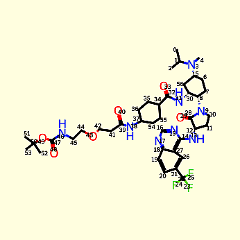 CC(C)N(C)[C@@H]1CC[C@H](N2CC[C@H](Nc3ncnc4ccc(C(F)(F)F)cc34)C2=O)[C@H](NC(=O)C2CCC(NC(=O)CCOCCNC(=O)OC(C)(C)C)CC2)C1